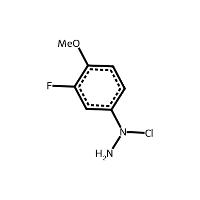 COc1ccc(N(N)Cl)cc1F